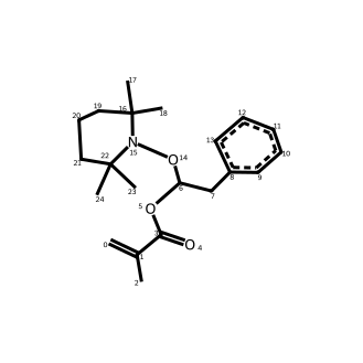 C=C(C)C(=O)OC(Cc1ccccc1)ON1C(C)(C)CCCC1(C)C